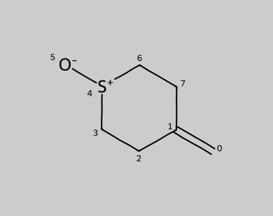 C=C1CC[S+]([O-])CC1